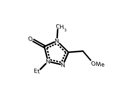 CCn1nc(COC)n(C)c1=O